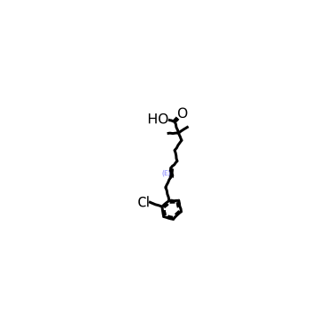 CC(C)(CCC/C=C/Cc1ccccc1Cl)C(=O)O